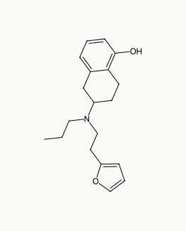 CCCN(CCc1ccco1)C1CCc2c(O)cccc2C1